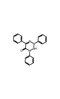 O=C1C(c2ccccc2)=NN(c2ccccc2)NN1c1ccccc1